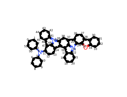 c1ccc(N(c2ccccc2)c2ccc3c4c5c6ccccc6n6c7c(ccc8c9ccccc9oc87)c(cc4n4c7ccccc7c2c34)c56)cc1